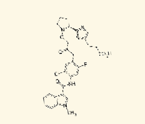 Cn1cc(C(=O)Nc2cc(F)c(CC(=O)CON3CCC[C@H]3c3ncc(CCC(=O)O)s3)cc2Cl)c2ccccc21